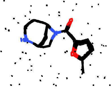 Cc1ccc(C(=O)N2CC3CC2CCN3)o1